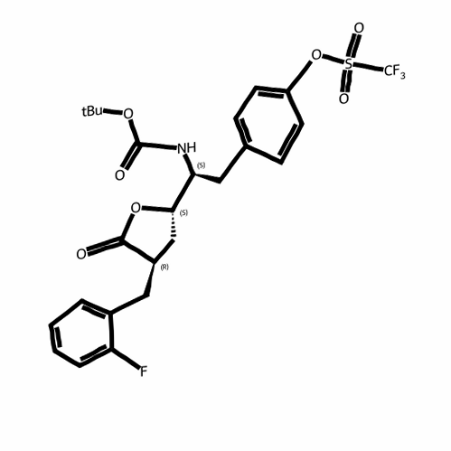 CC(C)(C)OC(=O)N[C@@H](Cc1ccc(OS(=O)(=O)C(F)(F)F)cc1)[C@@H]1C[C@@H](Cc2ccccc2F)C(=O)O1